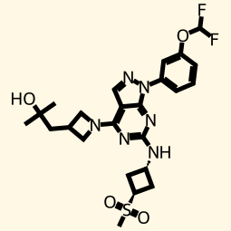 CC(C)(O)CC1CN(c2nc(N[C@H]3C[C@H](S(C)(=O)=O)C3)nc3c2cnn3-c2cccc(OC(F)F)c2)C1